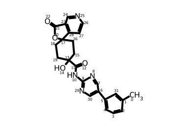 Cc1cccc(-c2cnc(NC(=O)C3(O)CCC4(CC3)OC(=O)c3cnccc34)nc2)c1